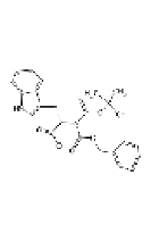 CC(C)(C)OC(=O)N(C(=O)OCc1ccccc1)[C@@H](Cc1c[nH]c2ccccc12)C(=O)O